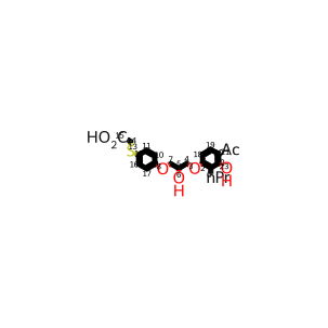 CCCc1c(OCC(O)COc2ccc(SCC(=O)O)cc2)ccc(C(C)=O)c1O